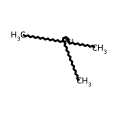 CCCCCCCCCCCCCCCCc1ccc[n+](CCCCCCCCCCC)c1CCCCCCCCCCCCCCCC